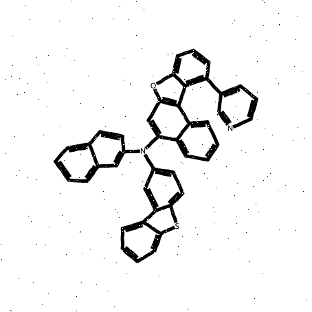 c1cncc(-c2cccc3oc4cc(N(c5ccc6ccccc6c5)c5ccc6sc7ccccc7c6c5)c5ccccc5c4c23)c1